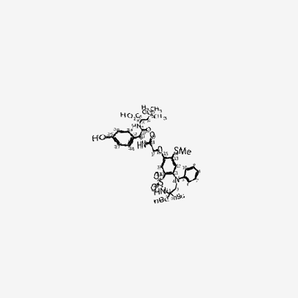 CCCCC1(CCCC)CN(c2ccccc2)c2cc(SC)c(OCC(=O)N[C@@H](C(=O)N[C@@H](C[Si](C)(C)C)C(=O)O)c3ccc(O)cc3)cc2S(=O)(=O)N1